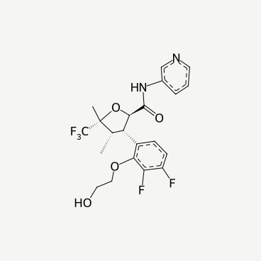 C[C@H]1[C@@H](c2ccc(F)c(F)c2OCCO)[C@H](C(=O)Nc2cccnc2)O[C@@]1(C)C(F)(F)F